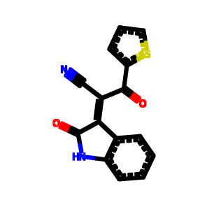 N#CC(C(=O)c1cccs1)=C1C(=O)Nc2ccccc21